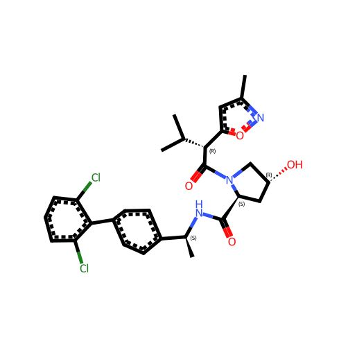 Cc1cc([C@H](C(=O)N2C[C@H](O)C[C@H]2C(=O)N[C@@H](C)c2ccc(-c3c(Cl)cccc3Cl)cc2)C(C)C)on1